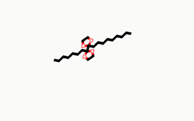 CCCCCCCCCC1(C2(CCCCCCC)OCCO2)OCCO1